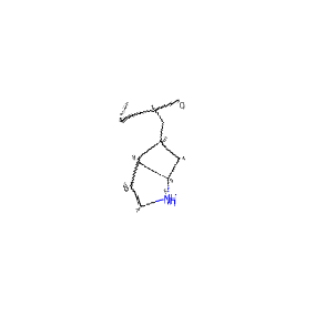 CC(C)C1CC2NCCC21